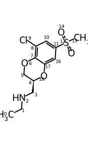 CCNC[C@H]1COc2c(Cl)cc(S(C)(=O)=O)cc2O1